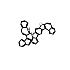 C1=C(c2cccc3ccccc23)C(n2c3ccccc3c3cc4c(cc32)oc2ccc3ccccc3c24)=Nc2ccccc2C1